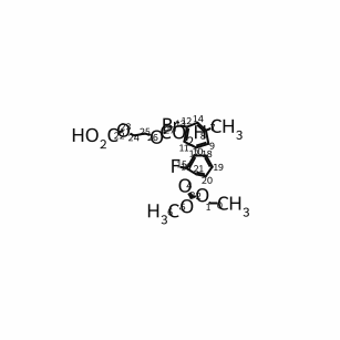 CCOC(=O)OC.Cc1cccc(Br)c1.Fc1ccccc1.O=C(O)OCCOC(=O)O